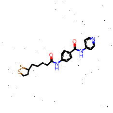 O=C(CCCCC1CCSS1)Nc1ccc(C(=O)Nc2ccncc2)cc1